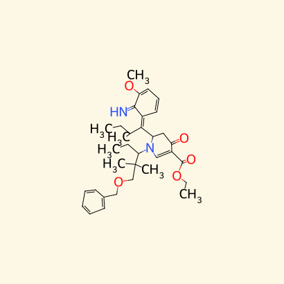 CCOC(=O)C1=CN(C(CC)C(C)(C)COCc2ccccc2)C(/C(=C2\C=CC=C(OC)C2=N)C(C)CC)CC1=O